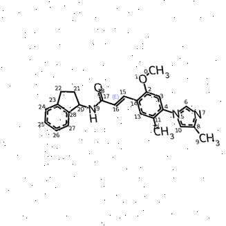 COc1cc(-n2cnc(C)c2)c(C)cc1/C=C/C(=O)NC1CCc2ccccc21